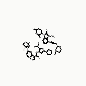 Cn1c(=O)n(C2CCC(=O)NC2=O)c2cccc(C#CC[C@@H]3CN(C[C@H]4CC[C@H](n5cc(NC(=O)c6cnn7ccc(N8C[C@H]9C[C@@H]8CO9)nc67)c(C(F)F)n5)CC4)CCO3)c21